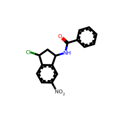 O=C(NC1CC(Cl)c2ccc([N+](=O)[O-])cc21)c1ccccc1